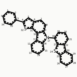 c1ccc(-c2cc3ccc4c(c5ccccc5n4-c4cccc5c4sc4ccccc45)c3s2)cc1